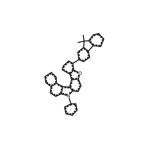 CC1(C)c2ccccc2-c2ccc(-c3cccc4c3oc3ccc5c(c34)c3c4ccccc4ccc3n5-c3ccccc3)cc21